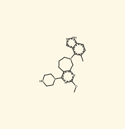 COc1nc2c(c(N3CCNCC3)n1)CCCN(c1c(C)ccc3[nH]ncc13)C2